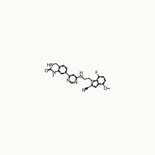 COc1ccc(F)c2c1cc(C#N)n2CCNc1cc(-c2ccc3c(c2)N(C)C(=O)NC3)ncn1